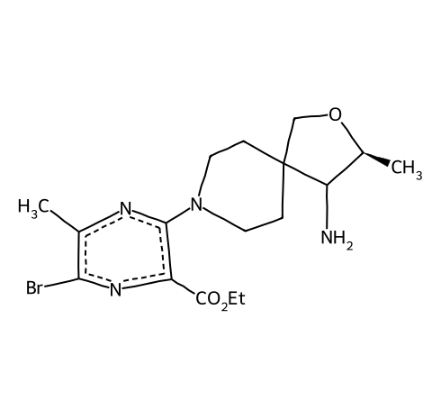 CCOC(=O)c1nc(Br)c(C)nc1N1CCC2(CC1)CO[C@@H](C)C2N